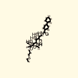 CCSCCCOC(C)(C[C@H](O)C(NC(C)=O)[C@H](O)[C@H](O)[C@H](O)CNC(=O)c1ccc(-c2ccccc2)cc1)OC